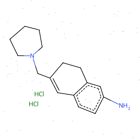 Cl.Cl.Nc1ccc2c(c1)CCC(CN1CCCCC1)=C2